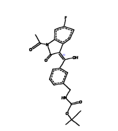 CC(=O)N1C(=O)/C(=C(/O)c2cccc(CNC(=O)OC(C)(C)C)c2)c2ccc(F)cc21